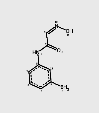 Bc1cccc(NC(=O)/C=N\O)c1